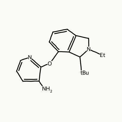 CCN1Cc2cccc(Oc3ncccc3N)c2C1C(C)(C)C